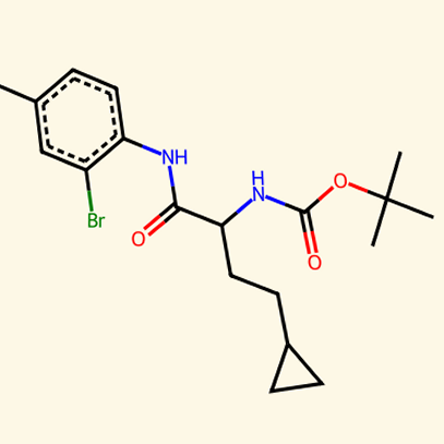 Cc1ccc(NC(=O)C(CCC2CC2)NC(=O)OC(C)(C)C)c(Br)c1